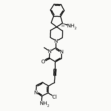 Cn1c(N2CCC3(CC2)Cc2ccccc2[C@H]3N)ncc(C#CCc2ccnc(N)c2Cl)c1=O